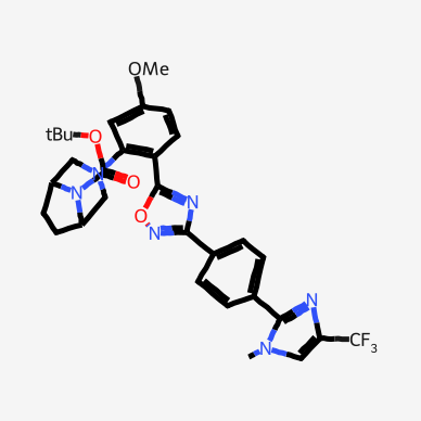 COc1ccc(-c2nc(-c3ccc(-c4nc(C(F)(F)F)cn4C)cc3)no2)c(N2CC3CCC(C2)N3C(=O)OC(C)(C)C)c1